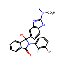 CN(C(=O)O)c1nc2cc(C3(O)c4ccccc4C(=O)N3c3cccc(Br)c3F)ccc2[nH]1